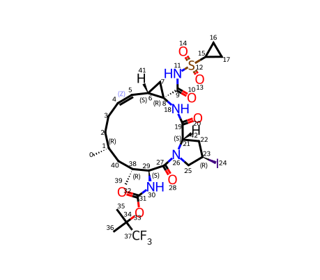 C[C@@H]1CC/C=C\[C@@H]2C[C@@]2(C(=O)NS(=O)(=O)C2CC2)NC(=O)[C@@H]2C[C@@H](I)CN2C(=O)[C@@H](NC(=O)OC(C)(C)C(F)(F)F)[C@H](C)C1